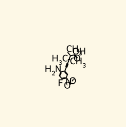 CCC(C(=O)O)C(C)(C)C#Cc1cc([N+](=O)[O-])c(F)cc1N